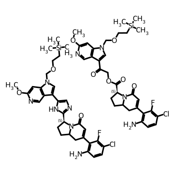 COc1cc2c(cn1)c(-c1cnc([C@@H]3CCC4CC(c5c(N)ccc(Cl)c5F)=CC(=O)N43)[nH]1)cn2COCC[Si](C)(C)C.COc1cc2c(cn1)c(C(=O)COC(=O)[C@@H]1CCC3CC(c4c(N)ccc(Cl)c4F)=CC(=O)N31)cn2COCC[Si](C)(C)C